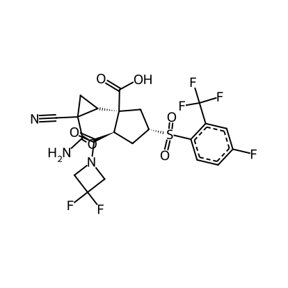 N#CC1(C(N)=O)CC1[C@]1(C(=O)O)C[C@H](S(=O)(=O)c2ccc(F)cc2C(F)(F)F)C[C@H]1C(=O)N1CC(F)(F)C1